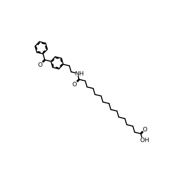 O=C(O)CCCCCCCCCCCCCCC(=O)NCCc1ccc(C(=O)c2ccccc2)cc1